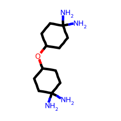 NC1(N)CCC(OC2CCC(N)(N)CC2)CC1